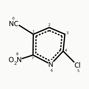 N#Cc1ccc(Cl)nc1[N+](=O)[O-]